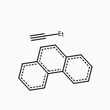 C#CCC.c1ccc2c(c1)ccc1ccccc12